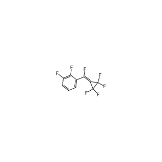 FC(=C1C(F)(F)C1(F)F)c1cccc(F)c1F